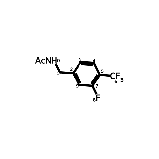 CC(=O)NCc1ccc(C(F)(F)F)c(F)c1